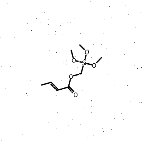 CC=CC(=O)OC[Si](OC)(OC)OC